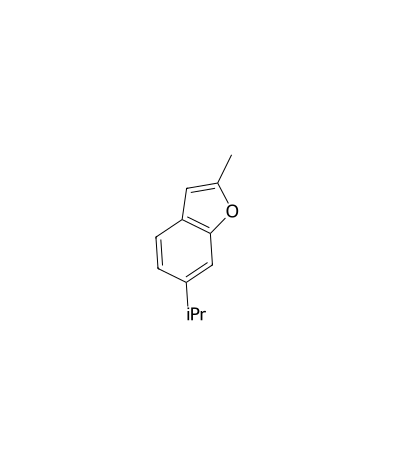 Cc1cc2ccc(C(C)C)cc2o1